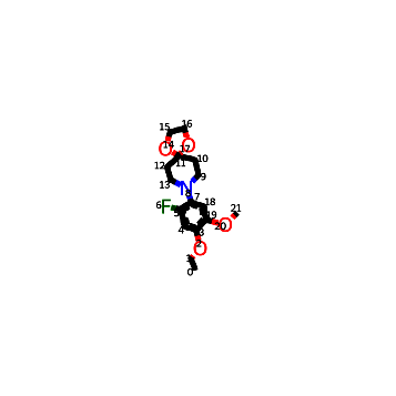 CCOc1cc(F)c(N2CCC3(CC2)OCCO3)cc1OC